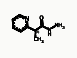 C[C@H](C(=O)NN)c1ccccn1